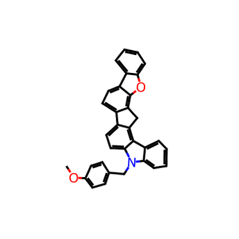 COc1ccc(Cn2c3ccccc3c3c4c(ccc32)-c2ccc3c(oc5ccccc53)c2C4)cc1